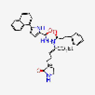 CCOC(=O)C(=CCC[C@H]1CCNC1=O)N(NC(=O)c1ccc(-c2cccc3ccccc23)[nH]1)C(=O)CCc1ccccc1